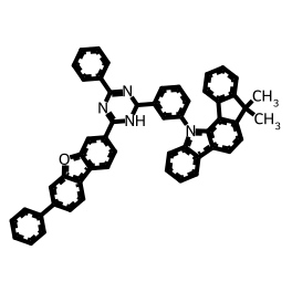 CC1(C)c2ccccc2-c2c1ccc1c3ccccc3n(-c3cccc(C4N=C(c5ccccc5)N=C(c5ccc6c(c5)oc5cc(-c7ccccc7)ccc56)N4)c3)c21